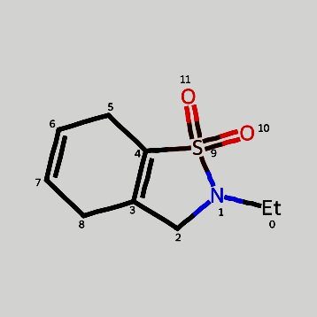 CCN1CC2=C(CC=CC2)S1(=O)=O